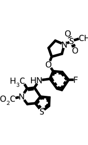 CC1=C(Nc2ccc(F)cc2OC2CCN(S(C)(=O)=O)C2)c2ccsc2CN1C(=O)O